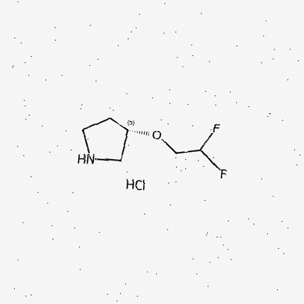 Cl.FC(F)CO[C@H]1CCNC1